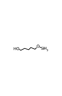 OCCCCCO[SiH3]